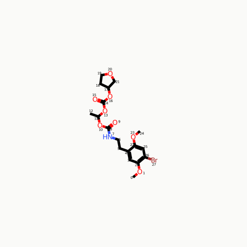 COc1cc(CCNC(=O)OC(C)OC(=O)OC2CCOC2)c(OC)cc1Br